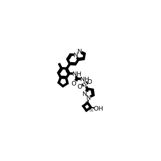 Cc1cc2c(c(NC(=O)NS(=O)(=O)c3ccn([C@@H]4CC[C@@H]4O)n3)c1-c1ccn3nccc3c1)CCC2